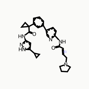 O=C(/C=C/CN1CCCC1)Nc1ccc(-c2cccc(C3(C(=O)Nc4cc(C5CC5)[nH]n4)CC3)c2)cn1